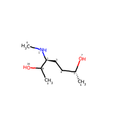 CN[C@@H](CC[C@@H](C)O)C(C)O